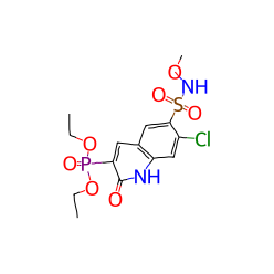 CCOP(=O)(OCC)c1cc2cc(S(=O)(=O)NOC)c(Cl)cc2[nH]c1=O